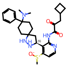 CN(C)C1(c2ccccc2)CCC2(CC1)C[C@@H](c1c([S+](C)[O-])ccnc1NC(=O)C(=O)CC1CCC1)NN2